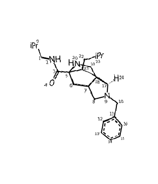 CC(C)CNC(=O)C12CC3CN(Cc4ccccc4)[C@@H](C3CN1)C2CC(C)C